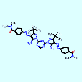 CN(C)C(=O)c1ccc(/N=N/c2c(C(C)(C)C)nn(-c3ncnc(-n4nc(C(C)(C)C)c(/N=N/c5ccc(C(=O)N(C)C)cc5)c4N)n3)c2N)cc1